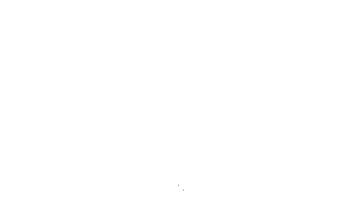 C/C=C\c1c(N)oc2c1ccc1cccc(C)c12